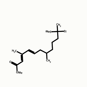 CCC(C)(CCCC(C)CC=CC(C)=CC(=O)OC)SC